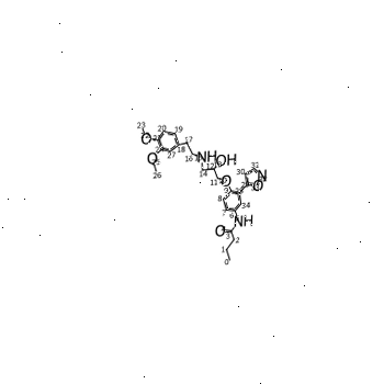 CCCC(=O)Nc1ccc(OCC(O)CNCCc2ccc(OC)c(OC)c2)c(-c2ccno2)c1